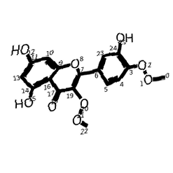 COOc1ccc(-c2oc3cc(O)cc(O)c3c(=O)c2OOC)cc1O